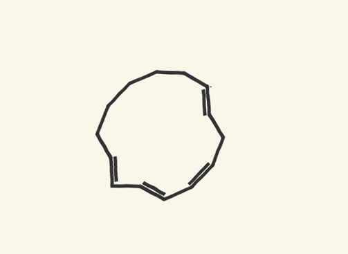 [C]1=C/C\C=C/C=C/C=C/CCCCC/1